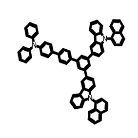 c1ccc(N(c2ccccc2)c2ccc(-c3ccc(-c4cc(-c5ccc6c(c5)c5ccccc5n6-c5cccc6ccccc56)cc(-c5ccc6c(c5)c5ccccc5n6-c5cccc6ccccc56)c4)cc3)cc2)cc1